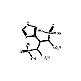 O=C(O)C(C(c1c[nH]cn1)C(C(=O)O)P(=O)(O)O)P(=O)(O)O